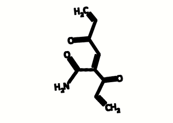 C=CC(=O)C=C(C(N)=O)C(=O)C=C